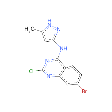 Cc1cc(Nc2nc(Cl)nc3cc(Br)ccc23)n[nH]1